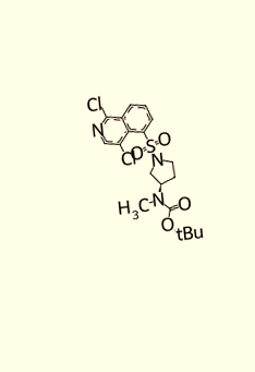 CN(C(=O)OC(C)(C)C)[C@@H]1CCN(S(=O)(=O)c2cccc3c(Cl)ncc(Cl)c23)C1